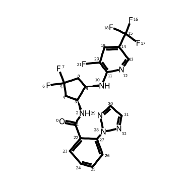 O=C(N[C@H]1CC(F)(F)C[C@H]1Nc1ncc(C(F)(F)F)cc1F)c1ccccc1-n1nccn1